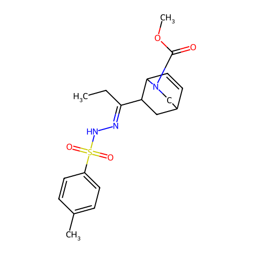 CC/C(=N\NS(=O)(=O)c1ccc(C)cc1)C1CC2C=CC1N(C(=O)OC)C2